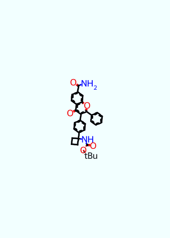 CC(C)(C)OC(=O)NC1(c2ccc(-c3c(-c4ccccc4)oc4cc(C(N)=O)ccc4c3=O)cc2)CCC1